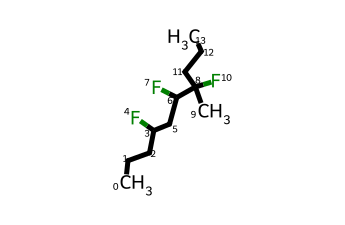 CCCC(F)CC(F)C(C)(F)CCC